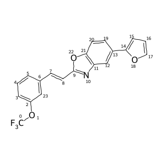 FC(F)(F)Oc1cccc(C=Cc2nc3cc(-c4ccco4)ccc3o2)c1